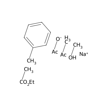 CC(=O)[O-].CC(C)=O.CCOC(C)=O.CO.Cc1ccccc1.[Na+]